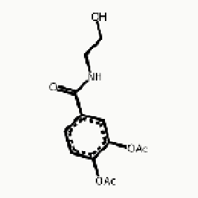 CC(=O)Oc1ccc(C(=O)NCCO)cc1OC(C)=O